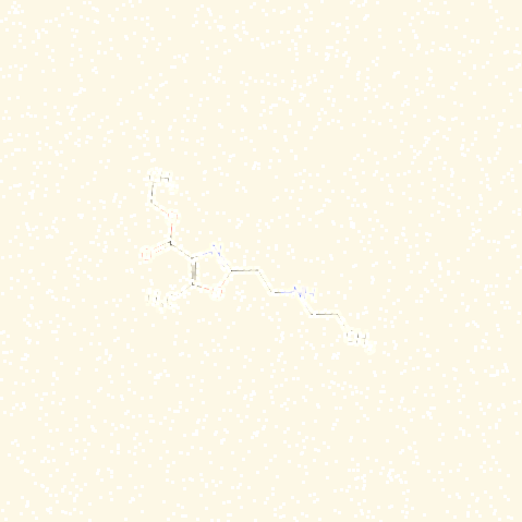 CCCNCCc1nc(C(=O)OCC)c(C)o1